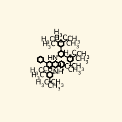 CC(C)(C)c1cc(Nc2c3ccccc3c(Nc3cc(-c4cc(C(C)(C)C)cc(C(C)(C)C)c4)cc(-c4cc(C(C)(C)C)cc(C(C)(C)C)c4)c3)c3cc(-c4ccccc4)ccc23)cc(C(C)(C)C)c1